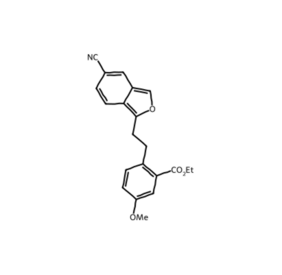 CCOC(=O)c1cc(OC)ccc1CCc1occ2cc(C#N)ccc12